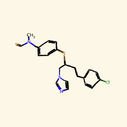 CN(C=S)c1ccc(SC(CCc2ccc(Cl)cc2)Cn2ccnc2)cc1